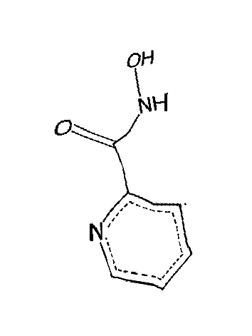 O=C(NO)c1[c]cccn1